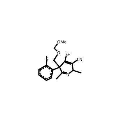 COCOCC1(c2ccccc2F)C(C)=NC(C)C(C#N)=C1S